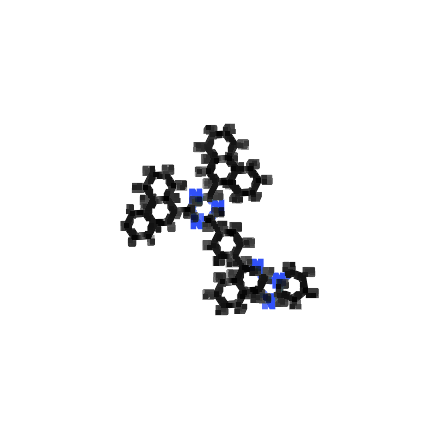 c1ccc2c(c1)cc(-c1nc(-c3ccc(-c4nc5c(nc6ccccn65)c5ccccc45)cc3)nc(-c3cc4ccccc4c4ccccc34)n1)c1ccccc12